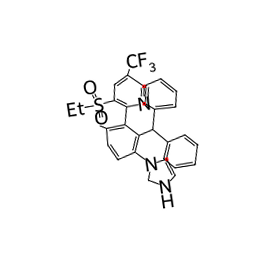 CCS(=O)(=O)c1cc(C(F)(F)F)cnc1-c1c(C)ccc(N2C=CNC2)c1C(c1ccccc1)c1ccccc1